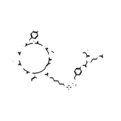 C/C=C(\C)[C@H]1OC(=O)[C@@H](C)NC(=O)[C@H]([C@H](C)CC)NC(=O)CN(C)C(=O)[C@@H](Cc2ccc(Cl)cc2)N(C)C(=O)[C@H](C)NC(=O)[C@@H](CC(C)C)OC(=O)/C(C)=C/C[C@H](OC(=O)NCCCCCOP(=O)(O)OP(=O)(O)OCc2ccc(NC(=O)[C@H](CCCNC(N)=O)NC(=O)[C@H](NC(=O)O)C(C)C)cc2)[C@@H]1C